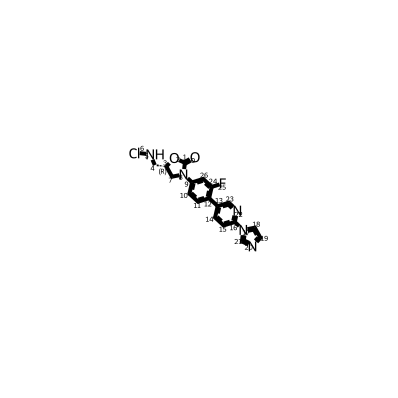 O=C1O[C@@H](CNCl)CN1c1ccc(-c2ccc(-n3ccnc3)nc2)c(F)c1